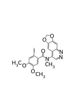 COc1cc(I)c(C(=O)N(C)c2cnnc3cc4c(cc23)OCO4)cc1OC